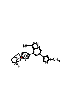 Cn1cc(-c2cc(-c3ccc(N4C5CC[C@H]4C[C@@H](O)C5)nc3)c3c(C#N)cnn3c2)cn1